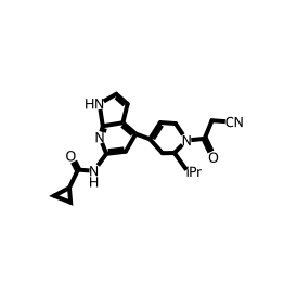 CC(C)C1CC(c2cc(NC(=O)C3CC3)nc3[nH]ccc23)=CCN1C(=O)CC#N